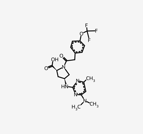 Cc1cc(N(C)C)nc(N[C@H]2C[C@@H](C(=O)O)N(C(=O)Cc3ccc(OC(F)(F)F)cc3)C2)n1